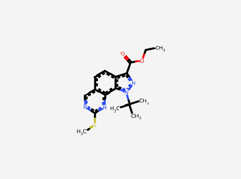 CCOC(=O)c1nn(C(C)(C)C)c2c1ccc1cnc(SC)nc12